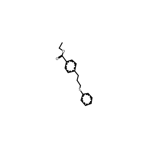 CCOC(=O)c1ccc(CCCSc2ccccc2)cc1